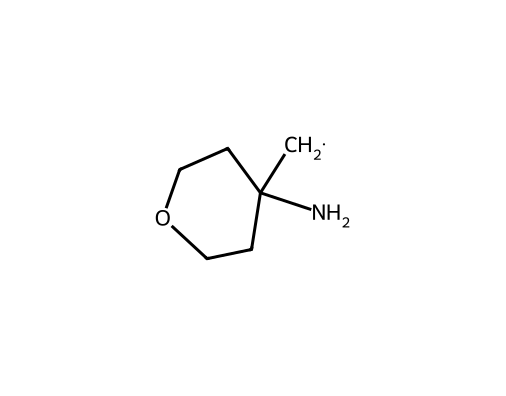 [CH2]C1(N)CCOCC1